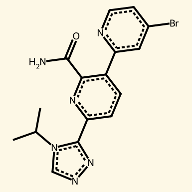 CC(C)n1cnnc1-c1ccc(-c2cc(Br)ccn2)c(C(N)=O)n1